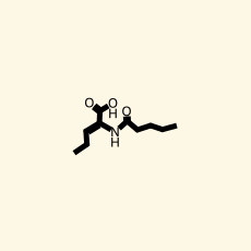 CC/C=C(\NC(=O)CCCC)C(=O)O